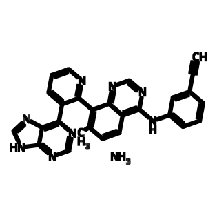 C#Cc1cccc(Nc2ncnc3c(-c4ncccc4-c4ncnc5[nH]cnc45)c(C)ccc23)c1.N